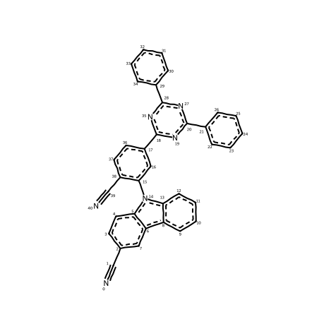 N#Cc1ccc2c(c1)c1ccccc1n2-c1cc(-c2nc(-c3ccccc3)nc(-c3ccccc3)n2)ccc1C#N